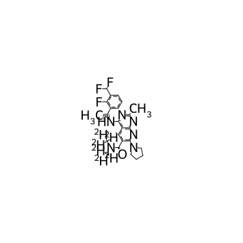 [2H]C([2H])([2H])N(C(=O)c1cc2c(N[C@H](C)c3cccc(C(F)F)c3F)nc(C)nc2nc1N1CCCC1)C([2H])([2H])[2H]